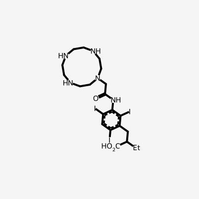 CCC(Cc1c(I)cc(I)c(NC(=O)CN2CCNCCNCCNCC2)c1I)C(=O)O